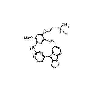 COc1cc(OCCN(C)C)c(N)cc1Nc1nccc(-c2c3n(c4ccccc24)CCC3)n1